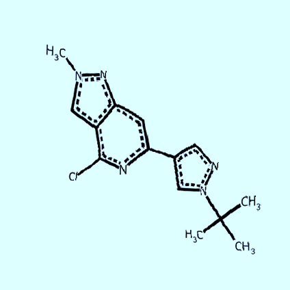 Cn1cc2c(Cl)nc(-c3cnn(C(C)(C)C)c3)cc2n1